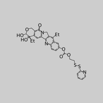 CCc1c2c(nc3ccc(OC(=O)OCCSSc4ccccn4)cc13)-c1cc3c(c(=O)n1C2)COC(O)[C@]3(O)CC